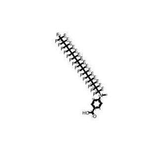 CN(c1ccc(C(=O)O)cc1)C(F)(F)C(F)(F)C(F)(F)C(F)(F)C(F)(F)C(F)(F)C(F)(F)C(F)(F)C(F)(F)C(F)(F)C(F)(F)C(F)(F)C(F)(F)C(F)(F)C(F)(F)F